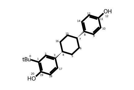 CC(C)(C)c1cc([C@H]2CC[C@@H](c3ccc(O)cc3)CC2)ccc1O